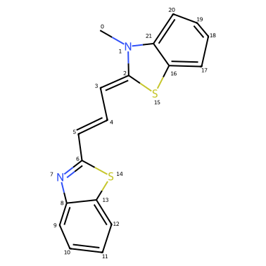 CN1/C(=C/C=C/c2nc3ccccc3s2)Sc2ccccc21